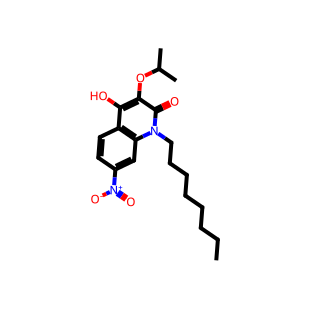 CCCCCCCCn1c(=O)c(OC(C)C)c(O)c2ccc([N+](=O)[O-])cc21